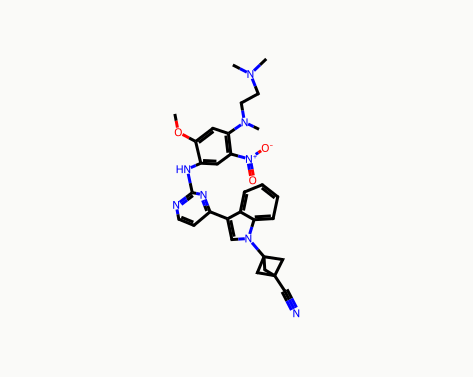 COc1cc(N(C)CCN(C)C)c([N+](=O)[O-])cc1Nc1nccc(-c2cn(C34CC(C#N)(C3)C4)c3ccccc23)n1